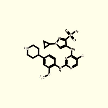 CC(C)S(=O)(=O)c1nn(C2CC2)cc1Nc1nc(Nc2ccc(C3CCNCC3)cc2OC(F)(F)F)ncc1Cl